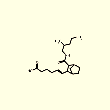 CCCC(C)CNC(=O)C1C2CCC(C2)C1C=CCCCC(=O)O